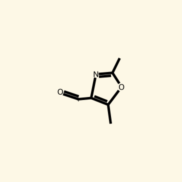 Cc1nc([C]=O)c(C)o1